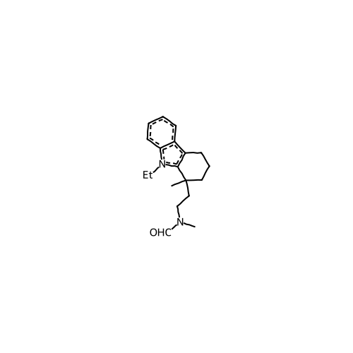 CCn1c2c(c3ccccc31)CCCC2(C)CCN(C)C=O